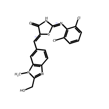 Cn1c(CO)nc2ccc(/C=C3\S/C(=N\c4c(Cl)cccc4Cl)NC3=O)cc21